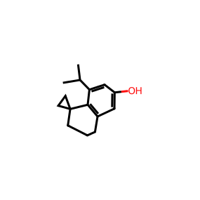 CC(C)c1cc(O)cc2c1C1(CCC2)CC1